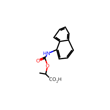 CC(OC(=O)Nc1cccc2ccccc12)C(=O)O